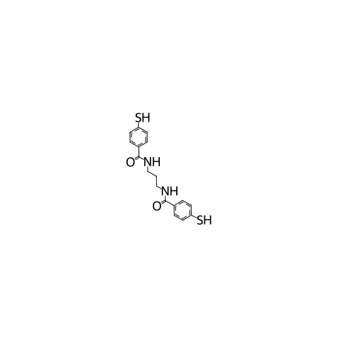 O=C(NCCCNC(=O)c1ccc(S)cc1)c1ccc(S)cc1